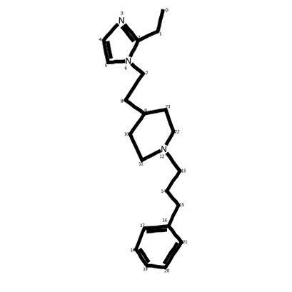 CCc1nccn1CCC1CCN(CCCc2ccccc2)CC1